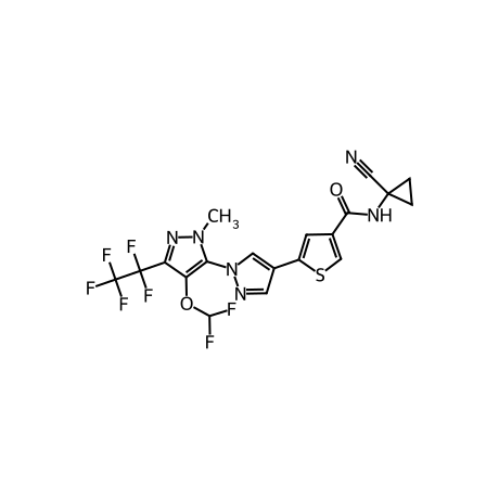 Cn1nc(C(F)(F)C(F)(F)F)c(OC(F)F)c1-n1cc(-c2cc(C(=O)NC3(C#N)CC3)cs2)cn1